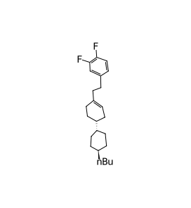 CCCC[C@H]1CC[C@H](C2CC=C(CCc3ccc(F)c(F)c3)CC2)CC1